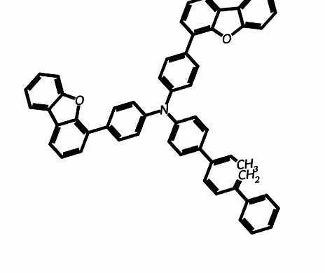 C=C(/C=C\C(=C/C)c1ccc(N(c2ccc(-c3cccc4c3oc3ccccc34)cc2)c2ccc(-c3cccc4c3oc3ccccc34)cc2)cc1)c1ccccc1